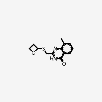 Cc1cccc2c(=O)[nH]c(CSC3CCO3)nc12